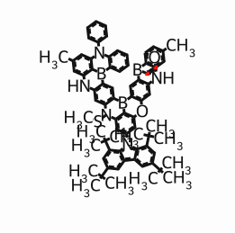 CSN1c2cc3c(cc2B2c4cc5c(cc4Oc4cc(-n6c7c(C(C)(C)C)cc(C(C)(C)C)cc7c7cc(C(C)(C)C)cc(C(C)(C)C)c76)cc1c42)Nc1cc(C)cc2c1B5c1ccccc1O2)B1c2ccccc2N(c2ccccc2)c2cc(C)cc(c21)N3